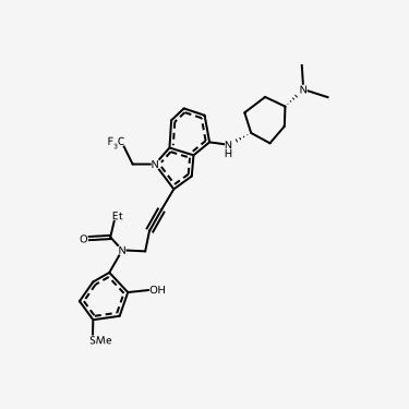 CCC(=O)N(CC#Cc1cc2c(N[C@H]3CC[C@@H](N(C)C)CC3)cccc2n1CC(F)(F)F)c1ccc(SC)cc1O